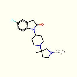 CCOC(=O)N1CCC(C)(N2CCC(N3C(=O)Cc4cc(F)ccc43)CC2)C1